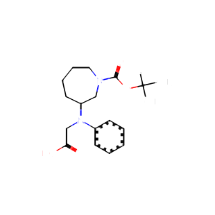 CC(C)(C)OC(=O)N1CCCCC(N(CC(=O)O)c2ccccc2)C1